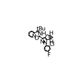 CC(C)(C)[C@@H](NC(=O)c1nn(-c2ccc(F)cc2Cl)c2c1C[C@H]1C[C@@H]21)c1ccccn1